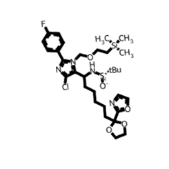 CC(C)(C)[S@@+]([O-])NC(CCCCCC1(c2ncco2)OCCO1)c1c(Cl)nc(-c2ccc(F)cc2)n1COCC[Si](C)(C)C